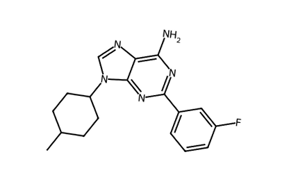 CC1CCC(n2cnc3c(N)nc(-c4cccc(F)c4)nc32)CC1